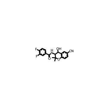 CC1(C)Oc2ccc(C#N)cc2C(O)C1NC(=O)c1ccc(F)c(F)c1